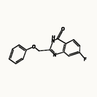 O=c1[nH]c(COc2ccccc2)nc2cc(F)ccc12